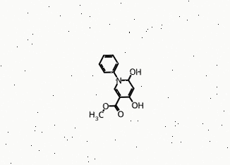 COC(=O)C1=CN(c2ccccc2)C(O)C=C1O